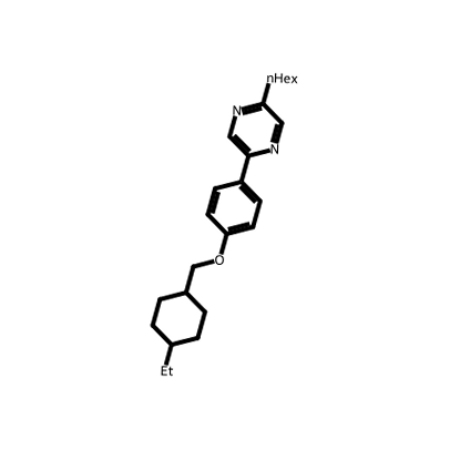 CCCCCCc1cnc(-c2ccc(OCC3CCC(CC)CC3)cc2)cn1